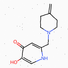 C=C1CCN(Cc2cc(=O)c(O)c[nH]2)CC1